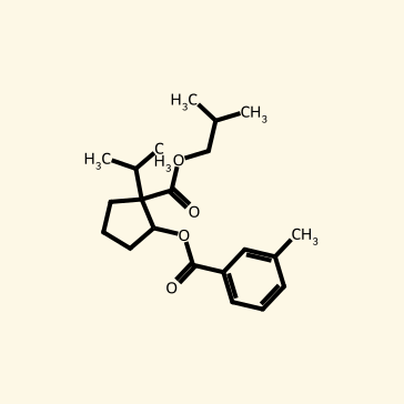 Cc1cccc(C(=O)OC2CCCC2(C(=O)OCC(C)C)C(C)C)c1